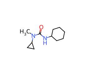 CN(C(=O)NC1CCCCC1)C1CC1